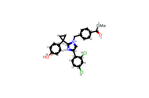 COC(=O)c1ccc(Cn2cc(-c3ccc(Cl)cc3Cl)nc2C2(c3ccc(O)cc3)CC2)cc1